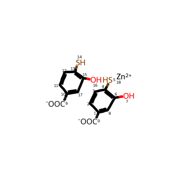 O=C([O-])c1ccc(S)c(O)c1.O=C([O-])c1ccc(S)c(O)c1.[Zn+2]